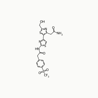 NC(=O)Cc1nc(CO)sc1-c1csc(NC(=O)Cc2ccc(S(=O)(=O)C(F)(F)F)cc2)n1